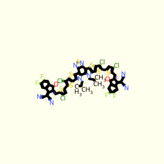 CC(C)Cn1c2c3sc(-c4cc(Cl)c(/C=C5\C(=O)c6cc(F)c(F)cc6C5=C(C#N)C#N)s4)c(Cl)c3sc2c2c3nsnc3c3c4sc5c(Cl)c(-c6cc(Cl)c(/C=C7\C(=O)c8cc(F)c(F)cc8C7=C(C#N)C#N)s6)sc5c4n(CC(C)C)c3c21